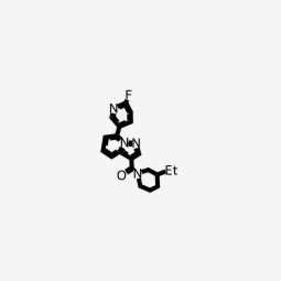 CCC1CCCN(C(=O)c2cnn3c(-c4ccc(F)nc4)cccc23)C1